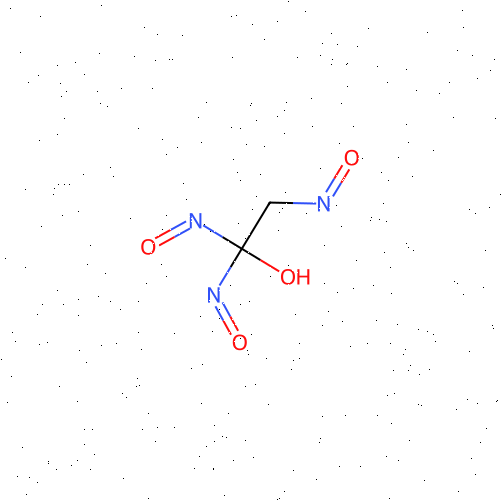 O=NCC(O)(N=O)N=O